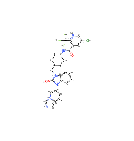 O=C(NC1CCC(Cn2c(=O)n(-c3ccc4cncn4c3)c3ccccc32)CC1)c1cc(Cl)cnc1C(F)(F)F